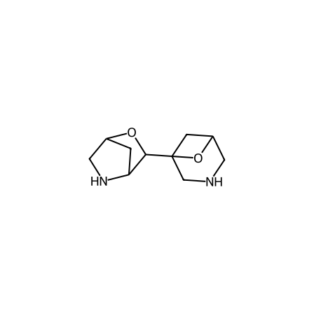 C1NC2CC1OC2C12CNCC(C1)O2